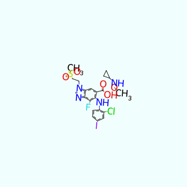 CONC1CC1.CS(=O)(=O)CCn1cnc2c(F)c(Nc3ccc(I)cc3Cl)c(C(=O)O)cc21